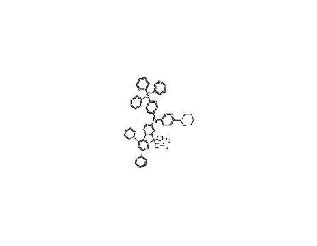 CC1(C)c2cc(N(c3ccc(C4CCCCC4)cc3)c3ccc(S(c4ccccc4)(c4ccccc4)c4ccccc4)cc3)ccc2-c2c(-c3ccccc3)cc(-c3ccccc3)cc21